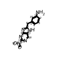 Nc1cccc(Cc2nc3nc([N+](=O)[O-])ncc3[nH]2)c1